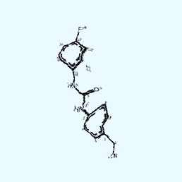 N#CCc1ccc(NC(=O)Nc2ccc(F)cc2)cc1